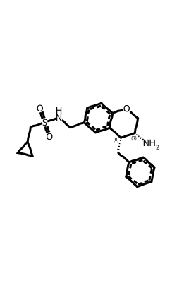 N[C@H]1COc2ccc(CNS(=O)(=O)CC3CC3)cc2[C@H]1Cc1ccccc1